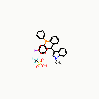 Cn1cc(C(c2ccc(I)cc2)c2ccccc2P(c2ccccc2)c2ccccc2)c2ccccc21.O=S(=O)(O)C(F)(F)F